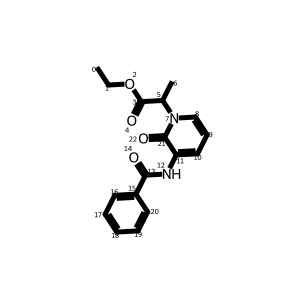 CCOC(=O)C(C)n1cccc(NC(=O)c2ccccc2)c1=O